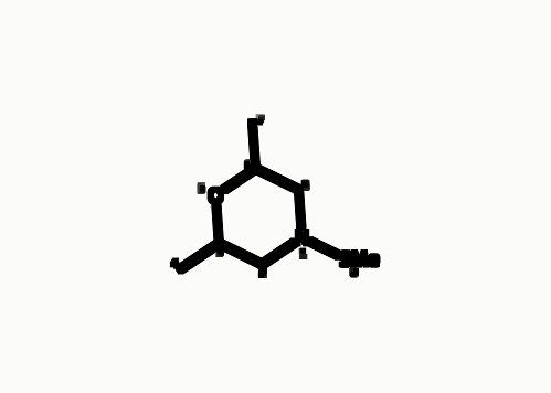 CSN1CC(C)OC(C)C1